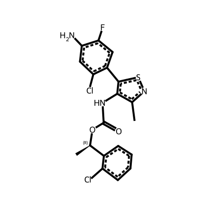 Cc1nsc(-c2cc(F)c(N)cc2Cl)c1NC(=O)O[C@H](C)c1ccccc1Cl